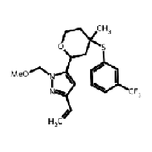 C=Cc1cc(C2CC(C)(Sc3cccc(C(F)(F)F)c3)CCO2)n(COC)n1